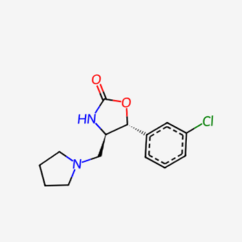 O=C1N[C@H](CN2CCCC2)[C@@H](c2cccc(Cl)c2)O1